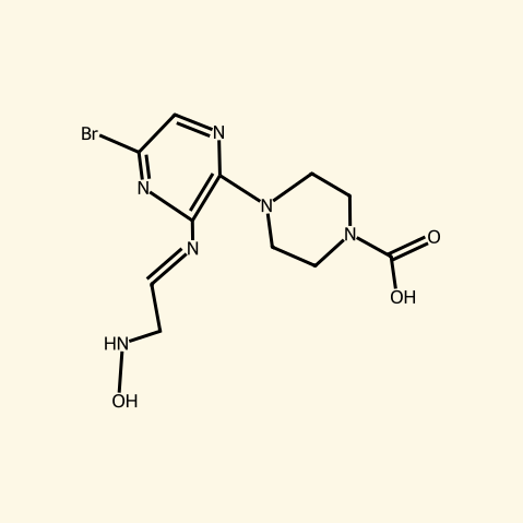 O=C(O)N1CCN(c2ncc(Br)nc2N=CCNO)CC1